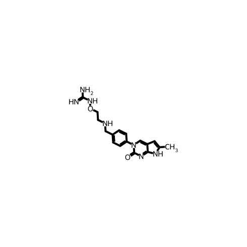 Cc1cc2cn(-c3ccc(CNCCONC(=N)N)cc3)c(=O)nc2[nH]1